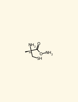 C[C@](N)(CS)C(=O)ON